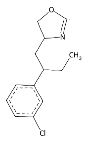 CCC(CC1CO[C]=N1)c1cccc(Cl)c1